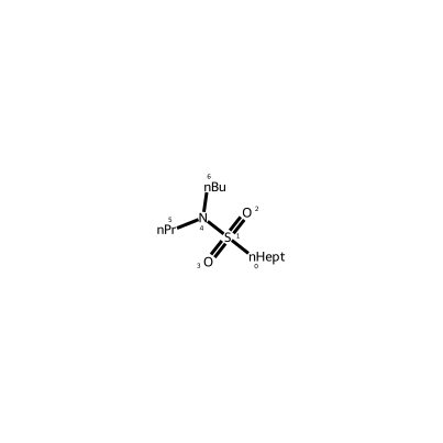 CCCCCCCS(=O)(=O)N(CCC)CCCC